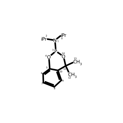 CC(C)N(C(C)C)P1Oc2ccccc2C(C)(C)O1